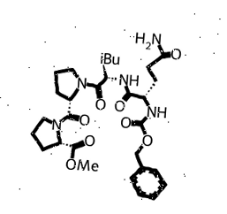 CC[C@H](C)[C@H](NC(=O)[C@H](CCC(N)=O)NC(=O)OCc1ccccc1)C(=O)N1CCC[C@H]1C(=O)N1CCC[C@H]1C(=O)OC